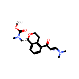 CCCCOC(=O)N(C)C[C@@H]1OCCc2c(C(=O)/C=C/N(C)C)cccc21